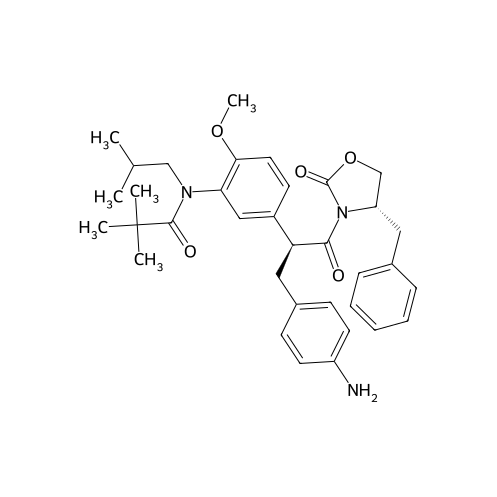 COc1ccc([C@H](Cc2ccc(N)cc2)C(=O)N2C(=O)OC[C@@H]2Cc2ccccc2)cc1N(CC(C)C)C(=O)C(C)(C)C